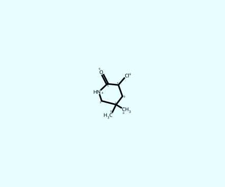 CC1(C)CNC(=O)C(Cl)C1